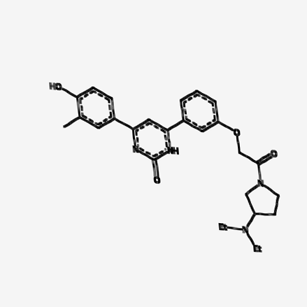 CCN(CC)C1CCN(C(=O)COc2cccc(-c3cc(-c4ccc(O)c(C)c4)nc(=O)[nH]3)c2)C1